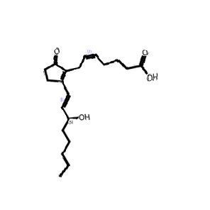 CCCCC[C@H](O)/C=C/C1=C(C/C=C\CCCC(=O)O)C(=O)CC1